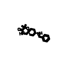 CC1(C)O[C@]2(CC[C@@H](NCc3ccccc3)CC2)CNC1=O